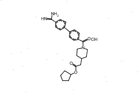 Cl.N=C(N)c1ccc(-c2ccc(C(=O)N3CCC(CC(=O)OC4CCCC4)CC3)cc2)cc1